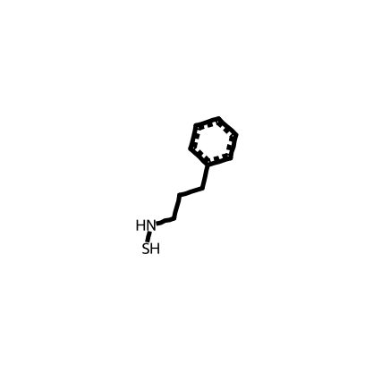 SNCCCc1ccccc1